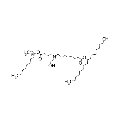 CCCCCCCCC(CCCCCCCC)OC(=O)CCCCCCCN(CCO)CCCC(=O)O[C@H](CC)CCCCCCCC